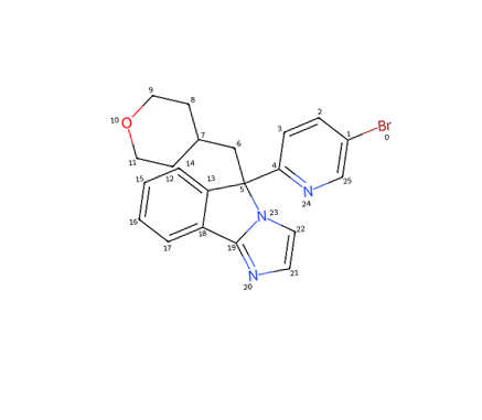 Brc1ccc(C2(CC3CCOCC3)c3ccccc3-c3nccn32)nc1